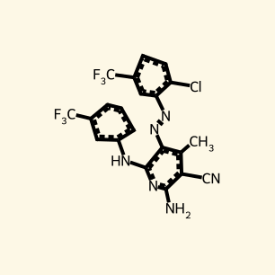 Cc1c(C#N)c(N)nc(Nc2cccc(C(F)(F)F)c2)c1/N=N/c1cc(C(F)(F)F)ccc1Cl